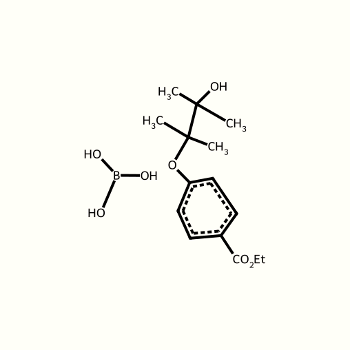 CCOC(=O)c1ccc(OC(C)(C)C(C)(C)O)cc1.OB(O)O